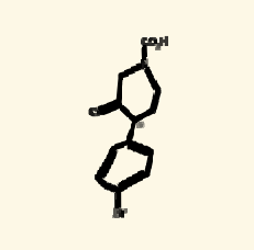 O=C1CN(C(=O)O)CC[C@H]1c1ccc(Br)cc1